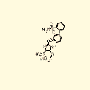 CCCCc1nc(SC)c(OC(=O)OCC)n1Cc1ccc(-c2ccccc2S(N)(=O)=O)cc1